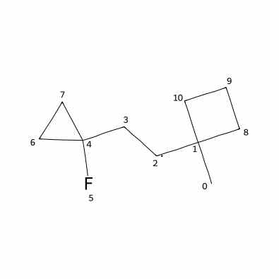 CC1([CH]CC2(F)CC2)CCC1